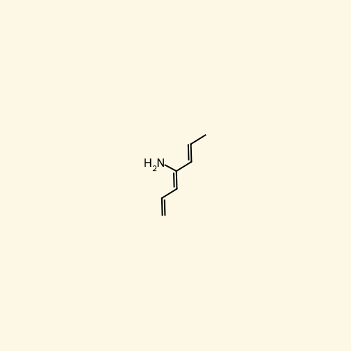 C=CC=C(N)C=CC